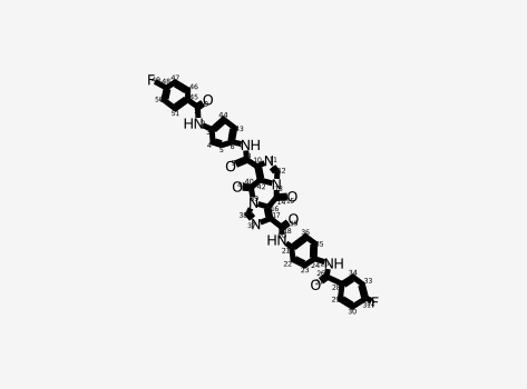 O=C(Nc1ccc(NC(=O)c2ncn3c(=O)c4c(C(=O)Nc5ccc(NC(=O)c6ccc(F)cc6)cc5)ncn4c(=O)c23)cc1)c1ccc(F)cc1